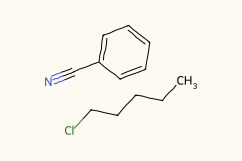 CCCCCCl.N#Cc1ccccc1